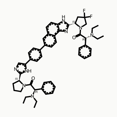 CCN(CC)[C@@H](C(=O)N1CCC[C@H]1c1ncc(-c2ccc(-c3ccc4c(ccc5[nH]c([C@@H]6CC(F)(F)CN6C(=O)[C@@H](c6ccccc6)N(CC)CC)nc54)c3)cc2)[nH]1)c1ccccc1